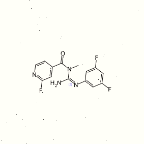 CN(C(=O)c1ccnc(F)c1)/C(N)=N\c1cc(F)cc(F)c1